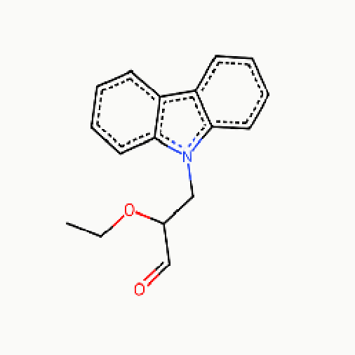 CCOC(C=O)Cn1c2ccccc2c2ccccc21